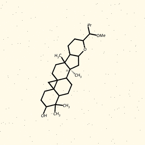 COC(C(C)C)C1CCC2C(C[C@@]3(C)C4CCC5C(C)(C)C(O)CCC56CC46CCC23C)O1